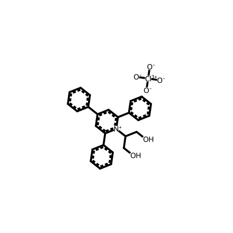 OCC(CO)[n+]1c(-c2ccccc2)cc(-c2ccccc2)cc1-c1ccccc1.[O-][Cl+3]([O-])([O-])[O-]